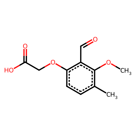 COc1c(C)ccc(OCC(=O)O)c1C=O